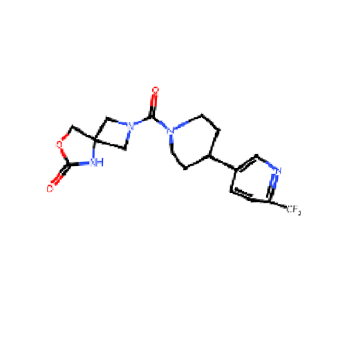 O=C1NC2(CO1)CN(C(=O)N1CCC(c3ccc(C(F)(F)F)nc3)CC1)C2